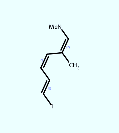 CN\C=C(C)/C=C\C=C\I